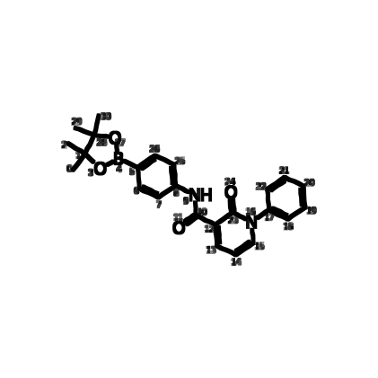 CC1(C)OB(c2ccc(NC(=O)c3cccn(-c4ccccc4)c3=O)cc2)OC1(C)C